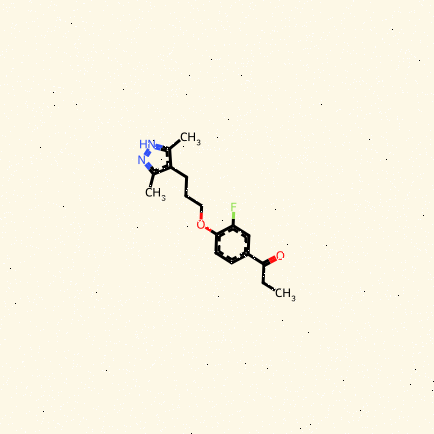 CCC(=O)c1ccc(OCCCc2c(C)n[nH]c2C)c(F)c1